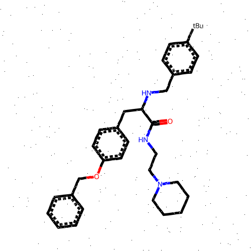 CC(C)(C)c1ccc(CNC(Cc2ccc(OCc3ccccc3)cc2)C(=O)NCCN2CCCCC2)cc1